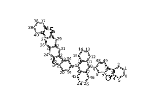 c1ccc2c(c1)oc1cc(-c3c4ccccc4c(-c4ccc5sc6cc7cc8c(cc7cc6c5c4)sc4ccccc48)c4ccccc34)ccc12